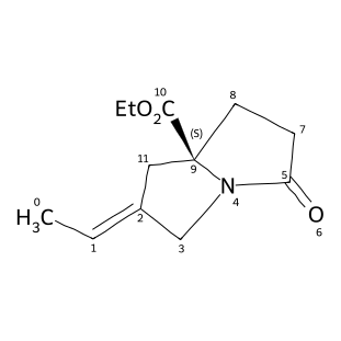 CC=C1CN2C(=O)CC[C@@]2(C(=O)OCC)C1